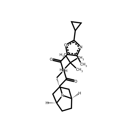 Cc1nc(C2CC2)oc1C(=O)NC[C@@H]1C[C@H]2CC[C@@H](C1)N2CC(=O)NC(C)(C)C